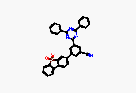 N#Cc1cc(-c2ccc3c(c2)S(=O)(=O)c2ccccc2-3)cc(-c2nc(-c3ccccc3)nc(-c3ccccc3)n2)c1